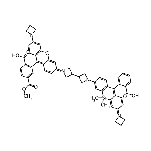 COC(=O)c1ccc(C(=O)O)c(-c2c3ccc(=[N+]4CC(C5CN(c6ccc7c(c6)[Si](C)(C)C6=CC(=[N+]8CCC8)C=CC6=C7c6ccccc6C(=O)O)C5)C4)cc-3oc3cc(N4CCC4)ccc23)c1